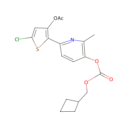 CC(=O)Oc1cc(Cl)sc1-c1ccc(OC(=O)OCC2CCC2)c(C)n1